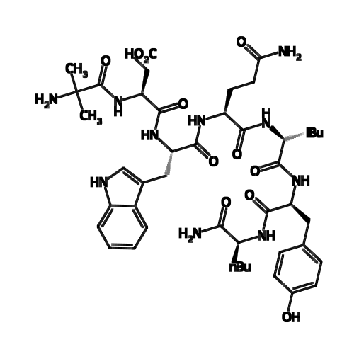 CCCC[C@H](NC(=O)[C@H](Cc1ccc(O)cc1)NC(=O)[C@@H](NC(=O)[C@H](CCC(N)=O)NC(=O)[C@H](Cc1c[nH]c2ccccc12)NC(=O)[C@H](CC(=O)O)NC(=O)C(C)(C)N)[C@@H](C)CC)C(N)=O